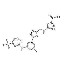 Cc1cc(Nc2nccc(C(F)(F)F)n2)cc(-c2cnc(CNc3cc(C(=O)O)n[nH]3)s2)c1